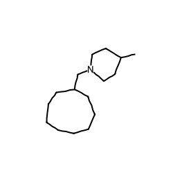 CC1CCN(CC2CCCCCCCC2)CC1